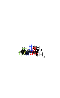 COc1cccc(OC)c1C(=O)NC(=O)Nc1ccc(Sc2c(F)c(F)cc(F)c2F)nc1